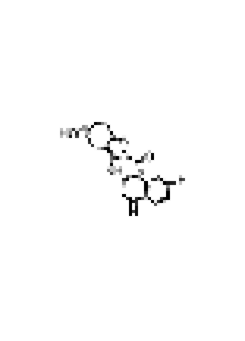 Nc1c2c(nn1C(=O)[C@H]1CCNc3ccc(F)cc31)CC[C@@H](O)C2